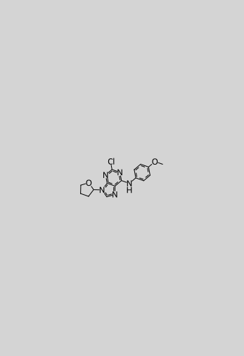 COc1ccc(Nc2nc(Cl)nc3c2ncn3C2CCCO2)cc1